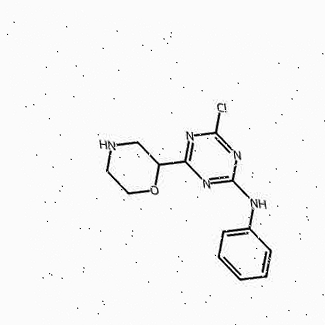 Clc1nc(Nc2ccccc2)nc(C2CNCCO2)n1